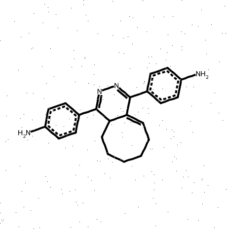 Nc1ccc(C2=NN=C(c3ccc(N)cc3)C3CCCCC/C=C/23)cc1